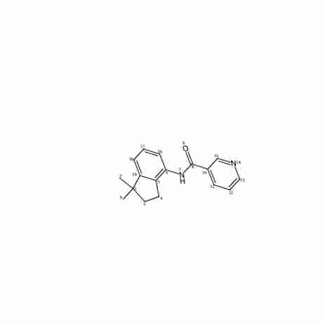 CC1(C)CCc2c(NC(=O)c3cccnc3)cccc21